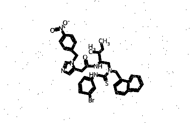 CCC(C)C(CN(Cc1cccc2ccccc12)C(=S)Nc1cccc(Br)c1)NC(=O)Cc1cncn1Cc1ccc([N+](=O)[O-])cc1